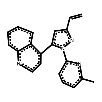 C=Cc1cc(-c2ccnc3ccccc23)n(-c2cccc(C)n2)n1